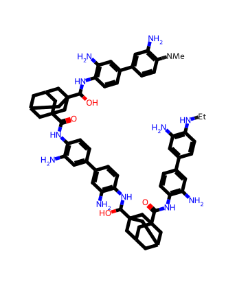 CCNc1ccc(-c2ccc(NC(=O)C34CC5CC(C3)CC(C(O)Nc3ccc(-c6ccc(NC(=O)C78CC9CC(C7)CC(C(O)Nc7ccc(-c%10ccc(NC)c(N)c%10)cc7N)(C9)C8)c(N)c6)cc3N)(C5)C4)c(N)c2)cc1N